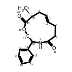 C[C@@H]1C/C=C/CCC(=O)NC(c2ccccc2)COC1=O